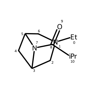 CCN1CC2CC(C1)N2C(=O)C(C)C